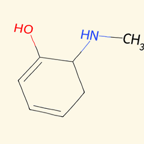 CNC1CC=CC=C1O